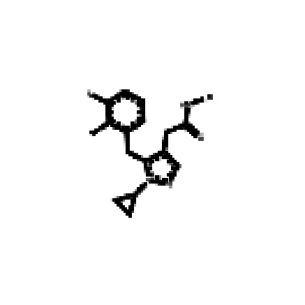 Cc1c(F)cccc1Cc1c(CC(=O)NO)cnn1C1CC1